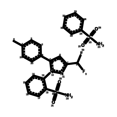 Cc1ccc(-c2cc(C(F)F)nn2-c2ccccc2S(N)(=O)=O)cc1.NS(=O)(=O)c1ccccc1